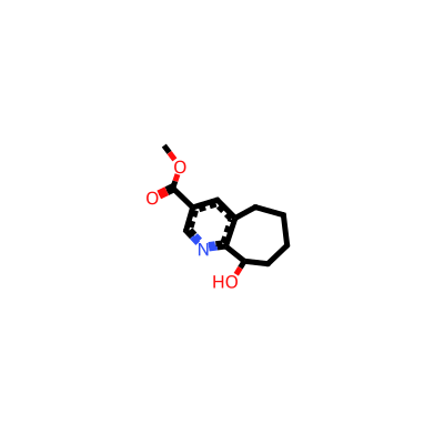 COC(=O)c1cnc2c(c1)CCCCC2O